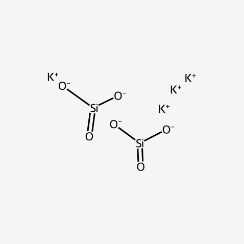 O=[Si]([O-])[O-].O=[Si]([O-])[O-].[K+].[K+].[K+].[K+]